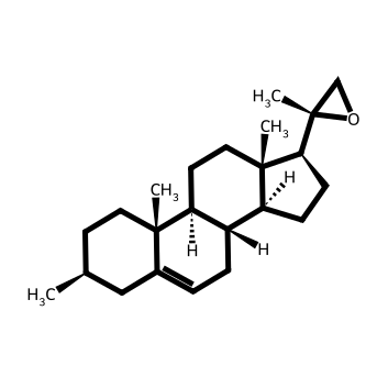 C[C@H]1CC[C@@]2(C)C(=CC[C@H]3[C@@H]4CC[C@H]([C@]5(C)CO5)[C@@]4(C)CC[C@@H]32)C1